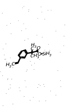 C=Cc1cccc(C(C)(C)C(=O)O[SiH3])c1